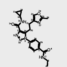 CCNC(=O)c1ccc(-n2nnc(C(=O)NC3CC3)c2CCc2coc(C)n2)cc1